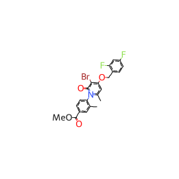 COC(=O)c1ccc(-n2c(C)cc(OCc3ccc(F)cc3F)c(Br)c2=O)c(C)c1